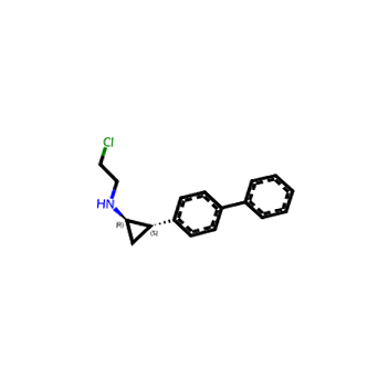 ClCCN[C@@H]1C[C@H]1c1ccc(-c2ccccc2)cc1